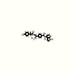 CC(C)(C(=O)NCC(N)c1ccc(C(=O)Nc2ccnc3[nH]ncc23)cc1)c1ccc(Cl)cc1